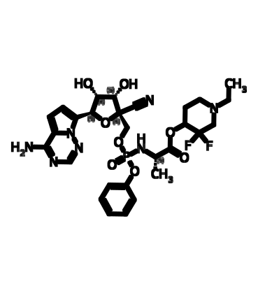 CCN1CCC(OC(=O)[C@H](C)NP(=O)(OC[C@@]2(C#N)O[C@@H](c3ccc4c(N)ncnn34)[C@H](O)[C@@H]2O)Oc2ccccc2)C(F)(F)C1